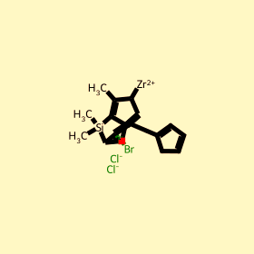 CC1=C2c3c(Br)c(c(F)c(C4=CC=CC4)c3[CH]1[Zr+2])[Si]2(C)C.[Cl-].[Cl-]